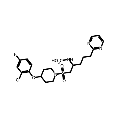 O=C(O)NC(CCCc1ncccn1)CS(=O)(=O)N1CCC(Oc2ccc(F)cc2Cl)CC1